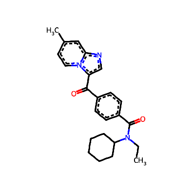 CCN(C(=O)c1ccc(C(=O)c2cnc3cc(C)ccn23)cc1)C1CCCCC1